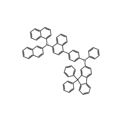 c1ccc(N(c2ccc(-c3ccc(N(c4ccc5ccccc5c4)c4cccc5ccccc45)c4ccccc34)cc2)c2ccc3c(c2)C(c2ccccc2)(c2ccccc2)c2ccccc2-3)cc1